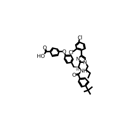 CCCCn1cc(-c2ccc(Cl)cc2Cl)nc1[C@H](Cc1ccc(Oc2ccc(C(=O)O)cc2)cc1)NC(=O)c1ccc(C(C)(C)C)cc1